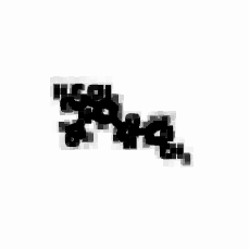 Cc1cc(-c2ncc(-c3ccc4c(c3)N(C3COC3)C(=O)C4(C)C)o2)ccn1